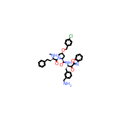 CN[C@H](CCc1ccccc1)C(=O)N1C[C@H](OCc2ccc(Cl)cc2)C[C@H]1C(=O)N[C@@H](Cc1cccc(CN)c1)C(=O)c1nc2ccccc2o1